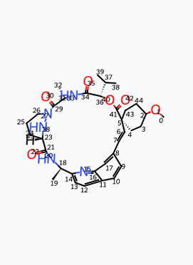 CO[C@H]1CC[C@@]2(/C=C/c3ccc4ccc(nc4c3)[C@@H](C)NC(=O)[C@@H]3CCCN(N3)C(=O)[C@H](C)NC(=O)[C@H](C(C)C)OC2=O)CC1